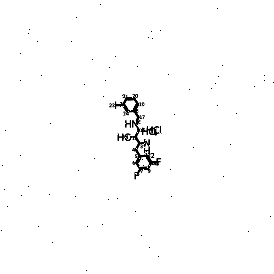 Cl.Cl.N[C@@H](Cc1cc(F)cc(F)c1)[C@H](O)CNCc1cccc(I)c1